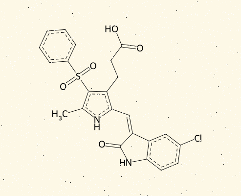 Cc1[nH]c(/C=C2\C(=O)Nc3ccc(Cl)cc32)c(CCC(=O)O)c1S(=O)(=O)c1ccccc1